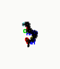 C#CCNC(CS(C)(=O)=O)c1cnc(-c2ccc3ncnc(Nc4ccc(OCc5cccc(F)c5)c(Cl)c4)c3c2)s1